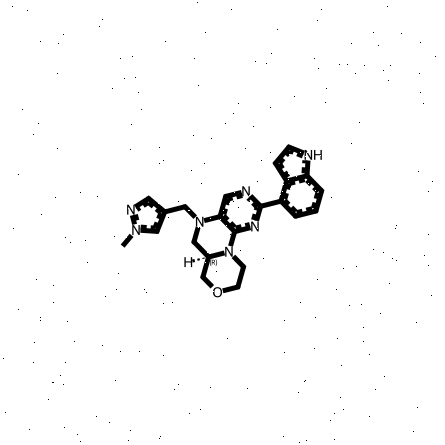 Cn1cc(CN2C[C@@H]3COCCN3c3nc(-c4cccc5[nH]ccc45)ncc32)cn1